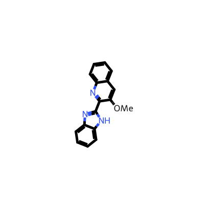 COc1cc2ccccc2nc1-c1nc2ccccc2[nH]1